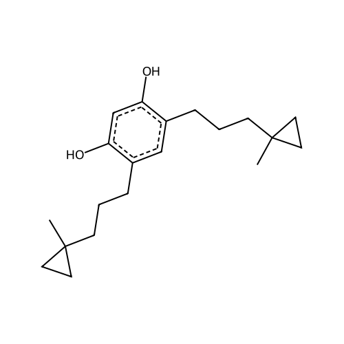 CC1(CCCc2cc(CCCC3(C)CC3)c(O)cc2O)CC1